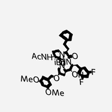 CC[C@@H](C)[C@@]1(NC(C)=O)CCN([C@@H](CCc2ccccc2)C(=O)N[C@@H](Cc2cc(F)cc(F)c2)[C@H](O)[C@H]2C[C@@H](OCc3cc(OC)cc(OC)c3)CN2)C1=O